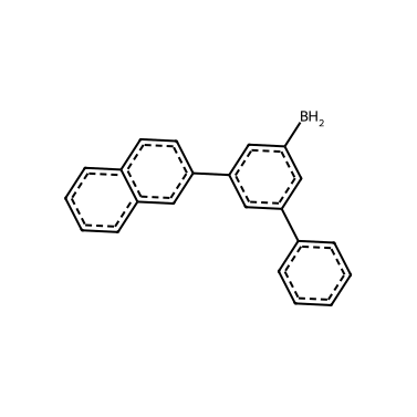 Bc1cc(-c2ccccc2)cc(-c2ccc3ccccc3c2)c1